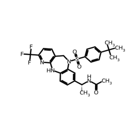 CC(=O)N[C@H](C)c1ccc2c(c1)N(S(=O)(=O)c1ccc(C(C)(C)C)cc1)Cc1ccc(C(F)(F)F)nc1N2